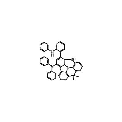 CC1(C)c2cccc3c2-n2c4c1cccc4c1c(N(c4ccccc4)c4ccccc4)cc(-c4ccccc4Nc4ccccc4)c(c12)B3